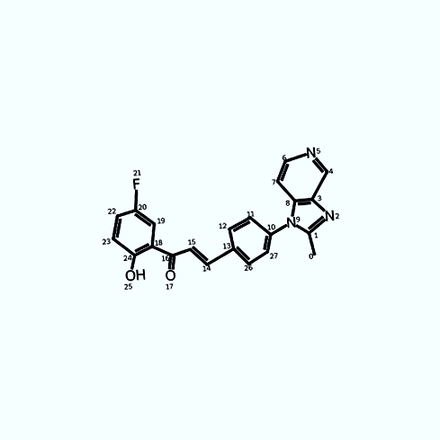 Cc1nc2cnccc2n1-c1ccc(C=CC(=O)c2cc(F)ccc2O)cc1